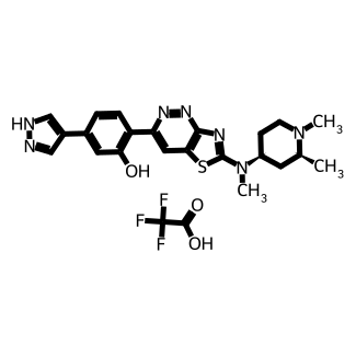 C[C@H]1C[C@@H](N(C)c2nc3nnc(-c4ccc(-c5cn[nH]c5)cc4O)cc3s2)CCN1C.O=C(O)C(F)(F)F